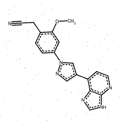 COc1cc(-n2cc(-c3ccnc4[nH]cnc34)cn2)ccc1CC#N